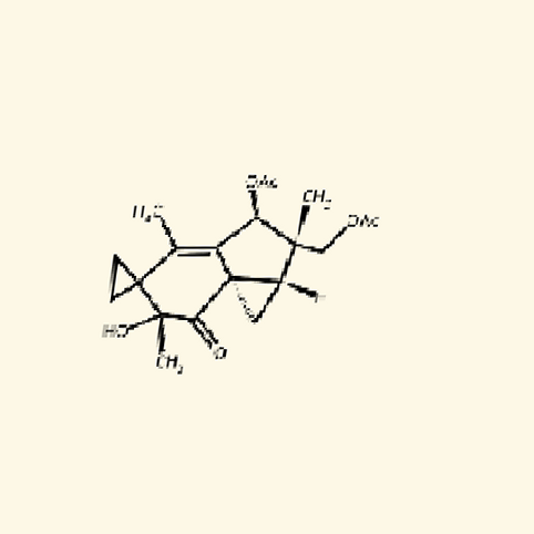 CC(=O)OC[C@@]1(C)[C@H](OC(C)=O)C2=C(C)C3(CC3)[C@@](C)(O)C(=O)[C@@]23C[C@H]31